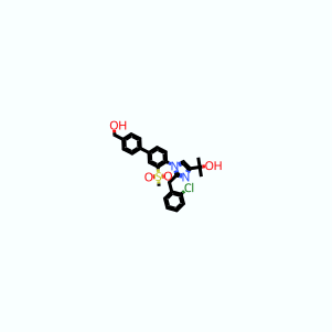 CC(C)(O)c1cn(-c2ccc(-c3ccc(CO)cc3)cc2S(C)(=O)=O)c(Cc2ccccc2Cl)n1